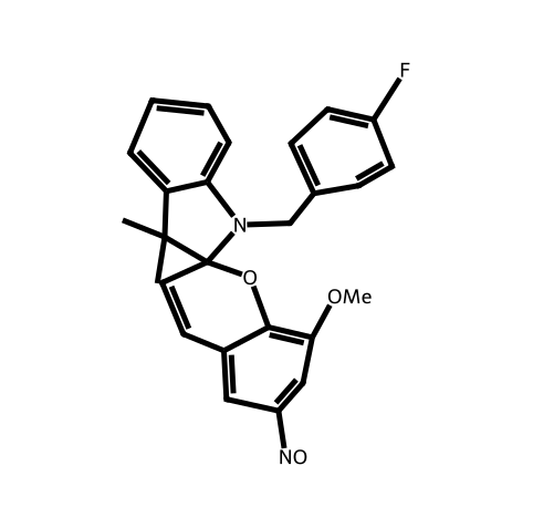 COc1cc(N=O)cc2c1OC1(C=C2)N(Cc2ccc(F)cc2)c2ccccc2C1(C)C